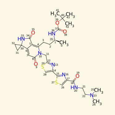 C[C@@H](CCc1c2c(cc(=O)n1Cc1nc(-c3nc(C(=O)NCCN(C)C)cs3)cs1)C1(CC1)NC2=O)NC(=O)OC(C)(C)C